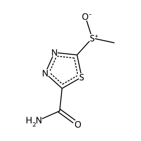 C[S+]([O-])c1nnc(C(N)=O)s1